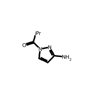 CC(C)C(=O)n1ccc(N)n1